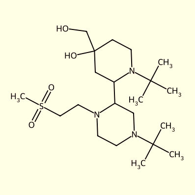 CC(C)(C)N1CCN(CCS(C)(=O)=O)C(C2CC(O)(CO)CCN2C(C)(C)C)C1